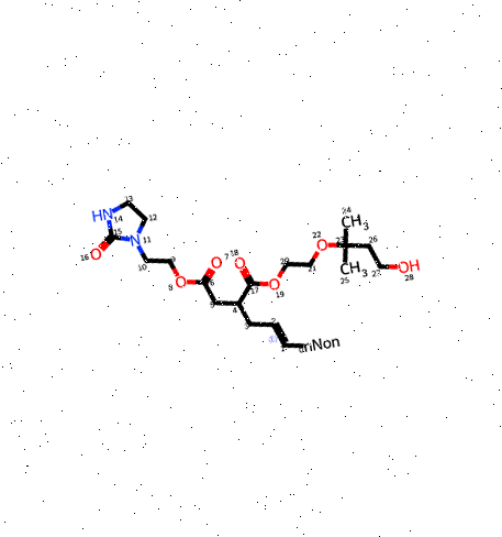 CCCCCCCCC/C=C/CC(CC(=O)OCCN1CCNC1=O)C(=O)OCCOC(C)(C)CCO